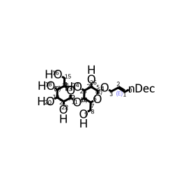 CCCCCCCCCC/C=C/CO[C@@H]1OC(CO)[C@@H](O[C@@H]2OC(CO)[C@H](O)C(O)C2O)C(O)C1O